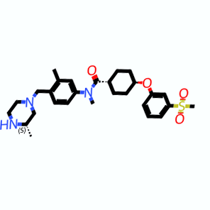 Cc1cc(N(C)C(=O)[C@H]2CC[C@H](Oc3cccc(S(C)(=O)=O)c3)CC2)ccc1CN1CCN[C@@H](C)C1